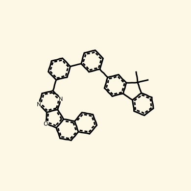 CC1(C)c2ccccc2-c2ccc(-c3cccc(-c4cccc(-c5cnc6oc7ccc8ccccc8c7c6n5)c4)c3)cc21